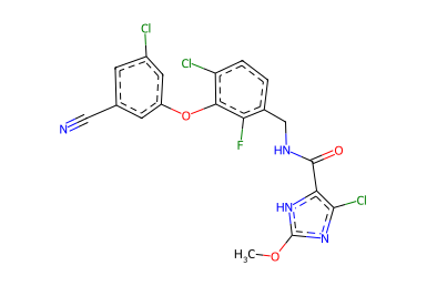 COc1nc(Cl)c(C(=O)NCc2ccc(Cl)c(Oc3cc(Cl)cc(C#N)c3)c2F)[nH]1